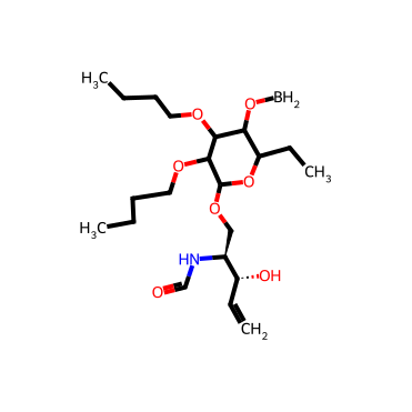 BOC1C(CC)OC(OC[C@H](NC=O)[C@H](O)C=C)C(OCCCC)C1OCCCC